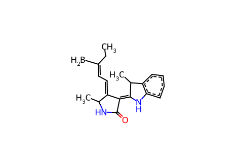 B/C(=C/C=C1/C(=C2/Nc3ccccc3C2C)C(=O)NC1C)CC